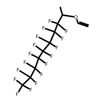 C=COC(C)C(F)(F)C(F)(F)C(F)(F)C(F)(F)C(F)(F)C(F)(F)C(F)(F)C(F)(F)F